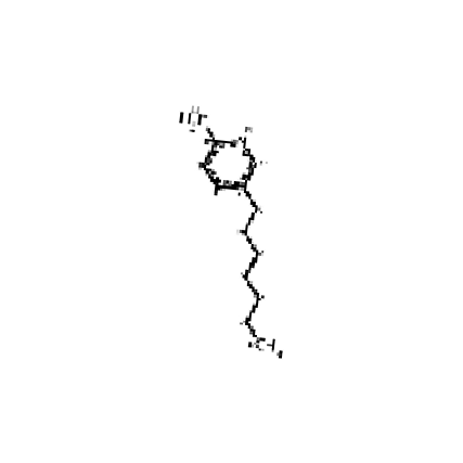 CCCCCCCc1ccc(C)nc1